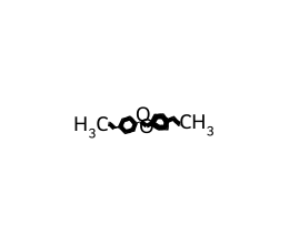 CCCc1ccc(OC(=O)[C@H]2CC[C@H](CCC)CC2)cc1